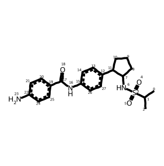 CC(C)S(=O)(=O)NC1CCCC1c1ccc(NC(=O)c2ccc(N)cc2)cc1